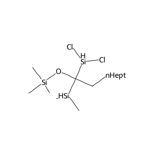 CCCCCCCCC(O[Si](C)(C)C)([SiH](C)C)[SiH](Cl)Cl